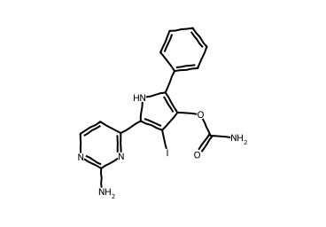 NC(=O)Oc1c(-c2ccccc2)[nH]c(-c2ccnc(N)n2)c1I